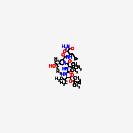 CC(C)[C@H](NC(=O)N[C@H](C(=O)N1C[C@H](C(C)(C)O)C[C@H]1C(=O)NC(CC1CC1)C(=O)C(N)=O)C(C)(C)C)C(=O)OC(C)(C)C1CC1